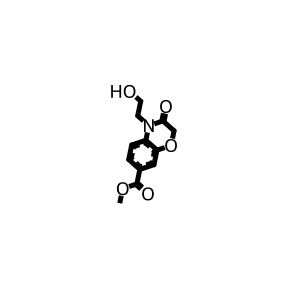 COC(=O)c1ccc2c(c1)OCC(=O)N2CCO